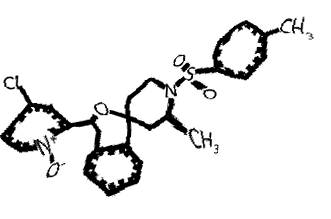 Cc1ccc(S(=O)(=O)N2CCC3(CC2C)OC(c2cc(Cl)cc[n+]2[O-])c2ccccc23)cc1